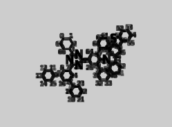 C1=CCC(c2nc(-c3cc(-c4ccccc4)cc(-c4ccccc4)c3)nc(-c3cc(-c4ccccc4)c(-n4c5ccccc5c5cc6c(cc54)sc4ccccc46)c(-c4ccccc4)c3)n2)C=C1